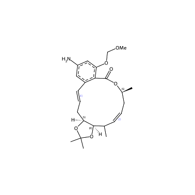 COCOc1cc(N)cc2c1C(=O)O[C@@H](C)C/C=C\C(C)[C@H]1OC(C)(C)O[C@H]1C/C=C/2